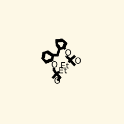 CCC1(COc2ccccc2Cc2ccccc2OCC2(CC)COC2)COC1